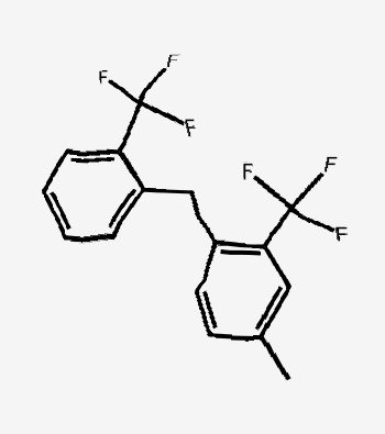 Cc1ccc(Cc2ccccc2C(F)(F)F)c(C(F)(F)F)c1